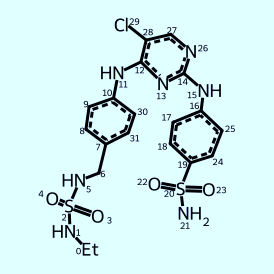 CCNS(=O)(=O)NCc1ccc(Nc2nc(Nc3ccc(S(N)(=O)=O)cc3)ncc2Cl)cc1